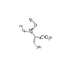 CCC/C=C(\C(=O)O)[SiH](OCC)OCC